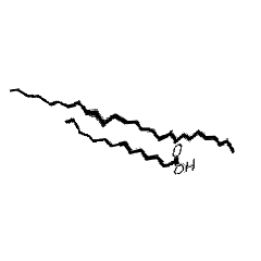 CCCCCCCCCCCCCC(=O)O.CCCCCCCCCCCCCCCCCCCCCCCCCCC